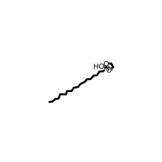 CCCCCCCCCCCCCCCCCC[PH]1(O)OCCO1